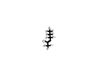 FC(F)(F)C(Cl)=CC(F)(F)C(F)(F)C(F)(F)F